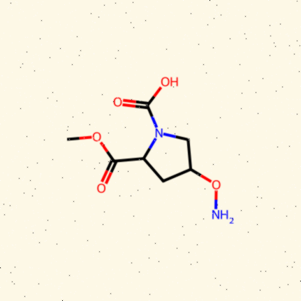 COC(=O)C1CC(ON)CN1C(=O)O